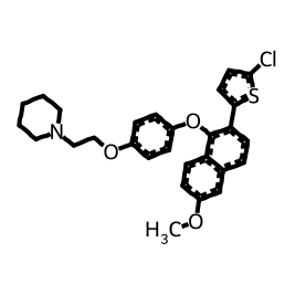 COc1ccc2c(Oc3ccc(OCCN4CCCCC4)cc3)c(-c3ccc(Cl)s3)ccc2c1